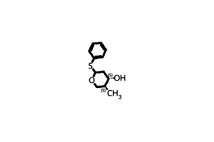 C[C@H]1COC(Sc2ccccc2)C[C@@H]1O